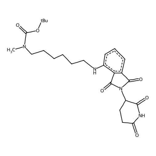 CN(CCCCCCNc1cccc2c1C(=O)N(C1CCC(=O)NC1=O)C2=O)C(=O)OC(C)(C)C